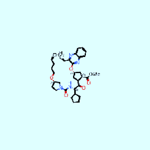 C=CCCCO[C@H]1CCN(C(=O)N[C@H](C(=O)C2C[C@H](Oc3nc4ccccc4nc3C=C)C[C@H]2C(=O)OC)C2CCCC2)C1